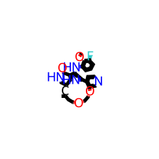 COc1c(F)cccc1Nc1c2[nH]c3c1C(=O)NCC3CC(C)CCOCCOc1cnccc1-2